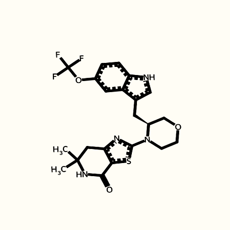 CC1(C)Cc2nc(N3CCOC[C@@H]3Cc3c[nH]c4ccc(OC(F)(F)F)cc34)sc2C(=O)N1